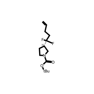 C=CCCC(F)(F)[C@H]1CCN(C(=O)OC(C)(C)C)C1